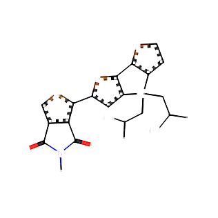 CCCCCCCCN1C(=O)c2[c]sc(-c3cc4c(s3)-c3s[c]cc3[Si]4(CC(CC)CCCC)CC(CC)CCCC)c2C1=O